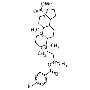 COC(=O)[C@]12CCCC1C1CCC3[C@@](C)(CC[C@@H](C)[C@]3(C)CC[C@@H](C)OC(=O)c3ccc(Br)cc3)C1CC2